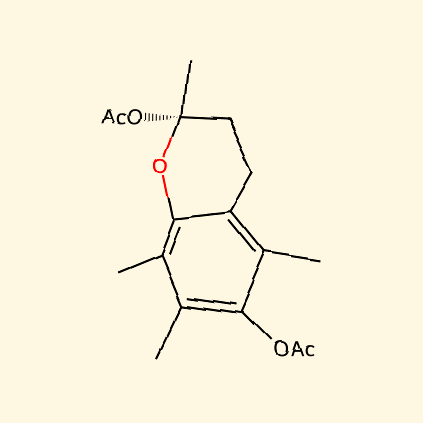 CC(=O)Oc1c(C)c(C)c2c(c1C)CC[C@@](C)(OC(C)=O)O2